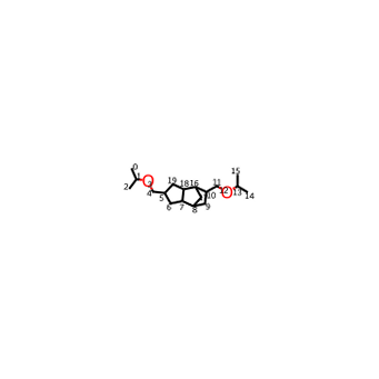 CC(C)OCC1CC2C3CC(COC(C)C)C(C3)C2C1